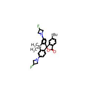 CC(C)(C)c1ccc2c(c1)C1(OC2=O)c2ccc(N3CC(F)C3)cc2[Si](C)(C)c2cc(N3CC(F)C3)ccc21